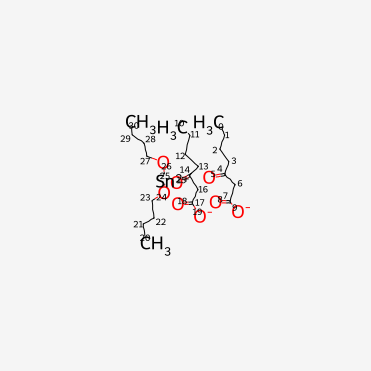 CCCCC(=O)CC(=O)[O-].CCCCC(=O)CC(=O)[O-].CCCC[O][Sn+2][O]CCCC